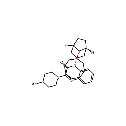 CC(=O)C1CCN(c2nc3ccccc3n([C@H]3C[C@H]4CC[C@@H](C3)N4C3CCCCCCC3)c2=O)CC1